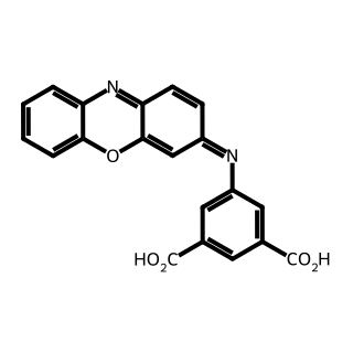 O=C(O)c1cc(N=c2ccc3nc4ccccc4oc-3c2)cc(C(=O)O)c1